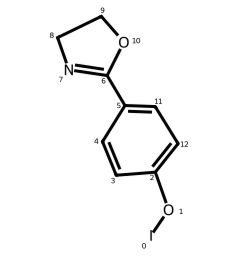 IOc1ccc(C2=NCCO2)cc1